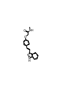 CNC(=O)COc1ccc(C=Cc2n[nH]c3ccccc23)cc1